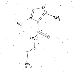 Cc1ocnc1C(=O)NCCN.Cl